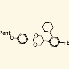 CCCCCOc1ccc([C@H]2OC[C@H](c3ccc(CCCC)cc3C3CCCCC3)CO2)cc1